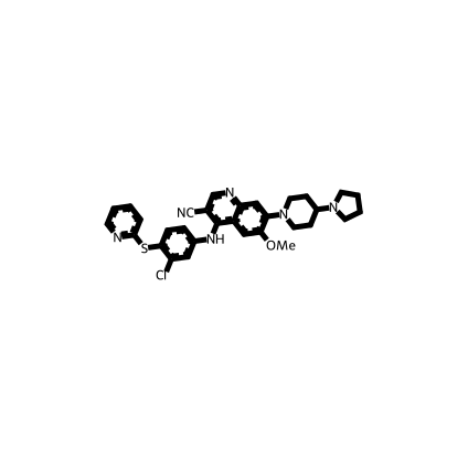 COc1cc2c(Nc3ccc(Sc4ccccn4)c(Cl)c3)c(C#N)cnc2cc1N1CCC(N2CCCC2)CC1